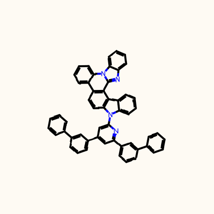 c1ccc(-c2cccc(-c3cc(-c4cccc(-c5ccccc5)c4)nc(-n4c5ccccc5c5c6c(ccc54)c4ccccc4n4c5ccccc5nc64)c3)c2)cc1